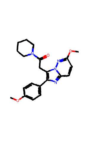 COc1ccc(-c2nc3ccc(OC)nn3c2CC(=O)N2CCCCC2)cc1